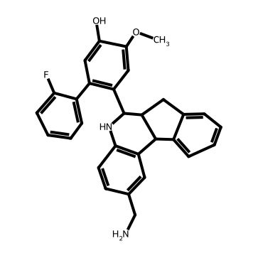 COc1cc(C2Nc3ccc(CN)cc3C3c4ccccc4CC23)c(-c2ccccc2F)cc1O